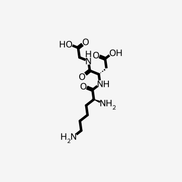 NCCCC[C@H](N)C(=O)N[C@@H](CC(=O)O)C(=O)NCC(=O)O